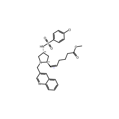 COC(=O)CCC/C=C\[C@@H]1C[C@@H](NS(=O)(=O)c2ccc(Cl)cc2)CN1Cc1cnc2ccccc2c1